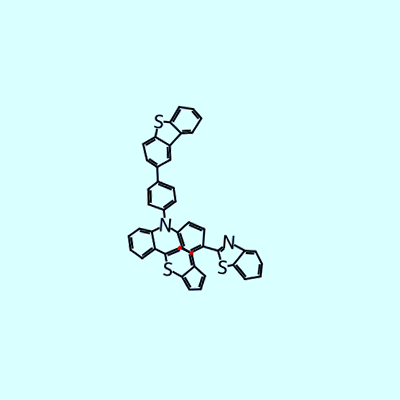 c1cc2ccc(-c3ccccc3N(c3ccc(-c4ccc5sc6ccccc6c5c4)cc3)c3ccc(-c4nc5ccccc5s4)cc3)sc-2c1